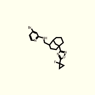 FC1(c2nc(C34CCCC(C3)C(CNc3cc(Br)ccn3)CC4)no2)CC1